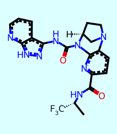 C[C@@H](NC(=O)c1ccc2c(n1)N(C(=O)Nc1n[nH]c3ncccc13)[C@H]1CCN2C1)C(F)(F)F